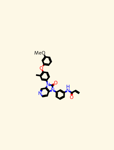 C=CC(=O)Nc1cccc(-n2c(=O)n(-c3ccc(Oc4cccc(OC)c4)c(C)c3)c3cnccc32)c1